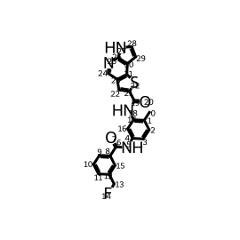 Cc1ccc(NC(=O)c2cccc(CF)c2)cc1NC(=O)c1cc2cnc3[nH]ccc3c2s1